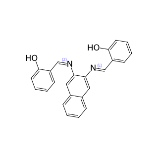 Oc1ccccc1/C=N\c1cc2ccccc2cc1/N=C/c1ccccc1O